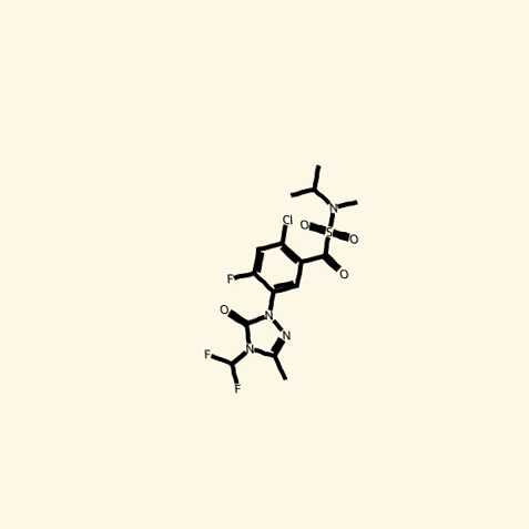 Cc1nn(-c2cc(C(=O)S(=O)(=O)N(C)C(C)C)c(Cl)cc2F)c(=O)n1C(F)F